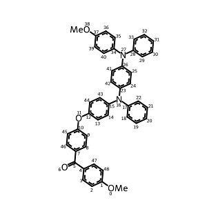 COc1ccc(C(=O)c2ccc(Oc3ccc(N(c4ccccc4)c4ccc(N(c5ccccc5)c5ccc(OC)cc5)cc4)cc3)cc2)cc1